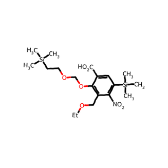 CCOCc1c(OCOCC[Si](C)(C)C)c(C(=O)O)cc([Si](C)(C)C)c1[N+](=O)[O-]